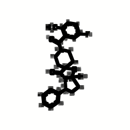 Cc1ccc(F)cc1C(=O)N1CCC2(CC1)O[C@@H]1CC[C@@H](c3ccccc3)N1C2=O